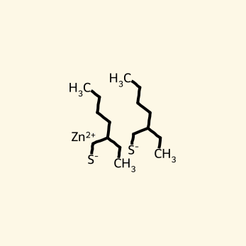 CCCCC(CC)C[S-].CCCCC(CC)C[S-].[Zn+2]